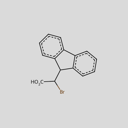 O=C(O)C(Br)C1c2ccccc2-c2ccccc21